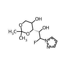 CC1(C)OCC(O)[C@H](C(O)C(F)n2cccn2)O1